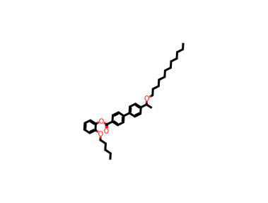 CCCCCCCCCCCCOC(C)c1ccc(-c2ccc(C(=O)Oc3ccccc3OCCCCC)cc2)cc1